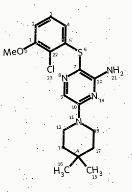 COc1cccc(Sc2ncc(N3CCC(C)(C)CC3)nc2N)c1Cl